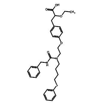 CCOC(Cc1ccc(OCCN(CCCCSc2ccccc2)C(=O)NCc2ccccc2)cc1)C(=O)O